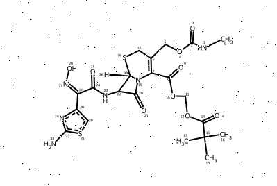 CNC(=O)OCC1=C(C(=O)OCOC(=O)C(C)(C)C)N2C(=O)C(NC(=O)/C(=N\O)c3csc(N)n3)[C@@H]2SC1